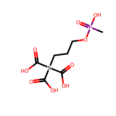 CP(=O)(O)OCCC[Si](C(=O)O)(C(=O)O)C(=O)O